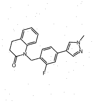 Cn1cc(-c2ccc(CN3C(=O)CCc4ccccc43)c(F)c2)cn1